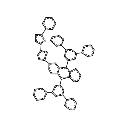 c1ccc(-c2cc(-c3ccccc3)cc(-c3c4ccccc4c(-c4cc(-c5ccccc5)cc(-c5ccccc5)c4)c4cc(-c5ccc(-c6ccc(-c7ccccc7)s6)s5)ccc34)c2)cc1